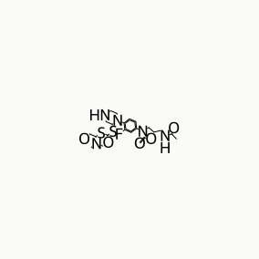 CC(=O)NCC1CN(c2ccc(N3CCNCC3SC(=O)SC(C=O)N(C)C)c(F)c2)C(=O)O1